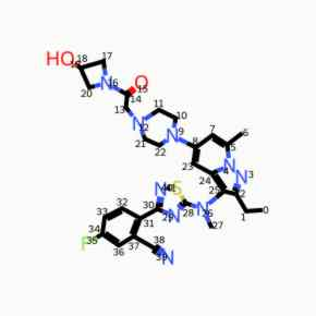 CCc1nn2c(C)cc(N3CCN(CC(=O)N4CC(O)C4)CC3)cc2c1N(C)c1nc(-c2ccc(F)cc2C#N)ns1